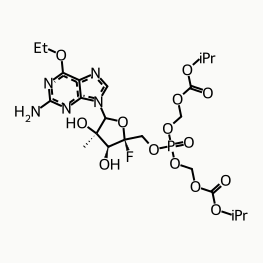 CCOc1nc(N)nc2c1ncn2C1O[C@](F)(COP(=O)(OCOC(=O)OC(C)C)OCOC(=O)OC(C)C)[C@@H](O)[C@@]1(C)O